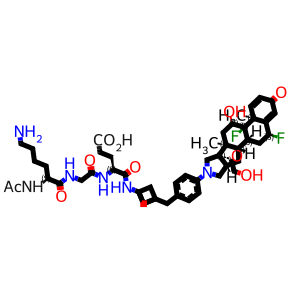 CC(=O)N[C@@H](CCCCN)C(=O)NCC(=O)N[C@@H](CCC(=O)O)C(=O)NC12CC(Cc3ccc(N4C[C@@H]5C[C@H]6[C@@H]7C[C@H](F)C8=CC(=O)C=C[C@]8(C)[C@@]7(F)[C@@H](O)C[C@]6(C)[C@]5(C(=O)CO)C4)cc3)(C1)C2